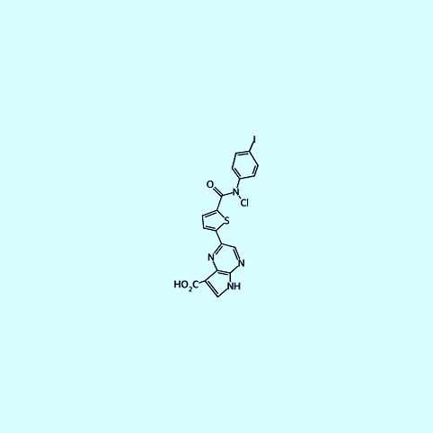 O=C(O)c1c[nH]c2ncc(-c3ccc(C(=O)N(Cl)c4ccc(I)cc4)s3)nc12